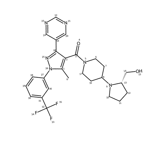 Cc1c(C(=O)N2CCC(N3CCC[C@H]3CO)CC2)c(-c2cncnc2)nn1-c1cccc(C(F)(F)F)c1